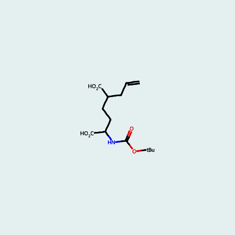 C=CCC(CCC(NC(=O)OC(C)(C)C)C(=O)O)C(=O)O